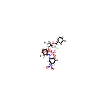 C[C@H](NP(=O)(Oc1ccccc1)Oc1ccc([N+](=O)[O-])cc1)C(=O)OCC(C)(C)OCc1ccccc1